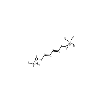 C[SiH2]OC/C=C/C=C/CO[Si](C)(C)C